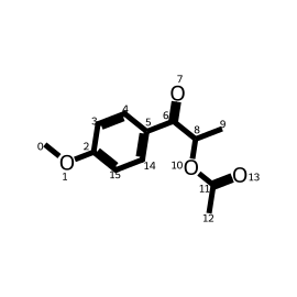 COc1ccc(C(=O)C(C)OC(C)=O)cc1